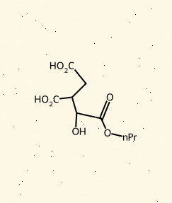 CCCOC(=O)C(O)C(CC(=O)O)C(=O)O